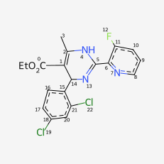 CCOC(=O)C1=C(C)NC(c2ncccc2F)=NC1c1ccc(Cl)cc1Cl